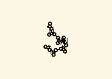 CC1(C)c2ccccc2-c2ccc(-n3c4ccccc4c4cc(-c5ccc6c(c5)c5ccccc5n6-c5cccc(-c6nc(-n7c8ccccc8c8cc(-c9ccc%10c(c9)c9ccccc9n%10-c9ccc%10c(c9)C(C)(C)c9ccccc9-%10)ccc87)c7ccccc7n6)c5)ccc43)cc21